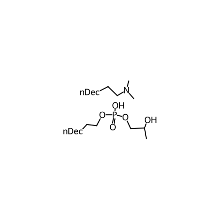 CCCCCCCCCCCCN(C)C.CCCCCCCCCCCCOP(=O)(O)OCC(C)O